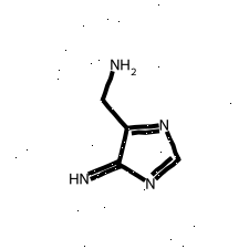 N=C1N=CN=C1CN